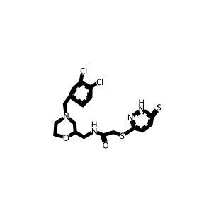 O=C(CSc1ccc(=S)[nH]n1)NCC1CN(Cc2ccc(Cl)c(Cl)c2)CCO1